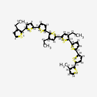 CCc1ccsc1-c1ccc(-c2ccc(-c3sc(-c4cc(CC)c(-c5ccc(-c6ccc(-c7sccc7C)s6)s5)s4)cc3CC)s2)s1